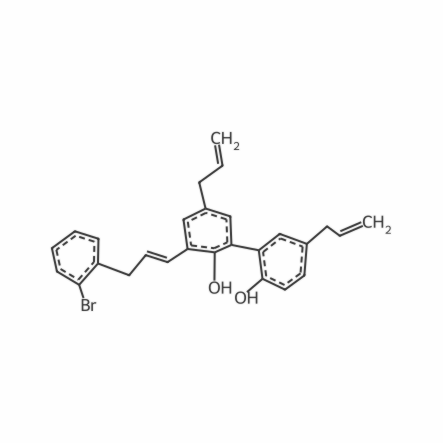 C=CCc1ccc(O)c(-c2cc(CC=C)cc(C=CCc3ccccc3Br)c2O)c1